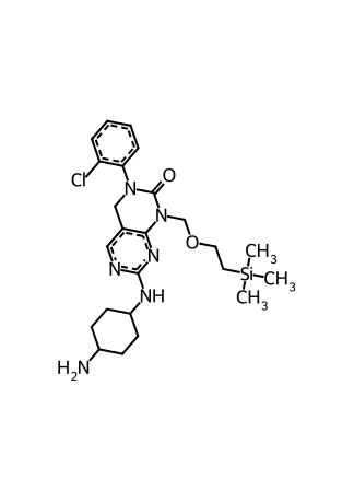 C[Si](C)(C)CCOCN1C(=O)N(c2ccccc2Cl)Cc2cnc(NC3CCC(N)CC3)nc21